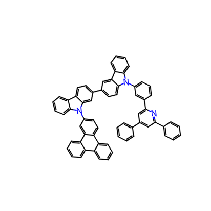 c1ccc(-c2cc(-c3ccccc3)nc(-c3cccc(-n4c5ccccc5c5cc(-c6ccc7c8ccccc8n(-c8ccc9c%10ccccc%10c%10ccccc%10c9c8)c7c6)ccc54)c3)c2)cc1